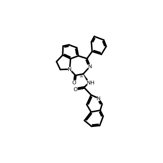 O=C(N[C@@H]1N=C(c2ccccc2)c2cccc3c2N(CC3)C1=O)c1cc2ccccc2cn1